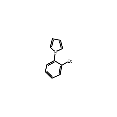 CCc1ccccc1-n1cccc1